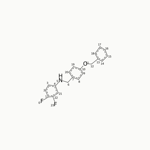 Fc1ccc(NCc2ccc(OCc3ccccc3)cc2)cc1F